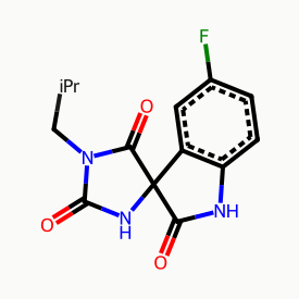 CC(C)CN1C(=O)NC2(C(=O)Nc3ccc(F)cc32)C1=O